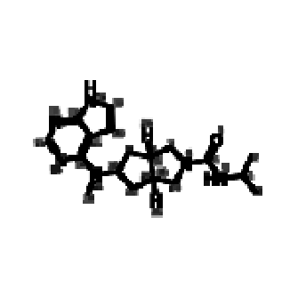 CC(C)NC(=O)N1C[C@H]2CC(N(C)c3ncnc4[nH]ccc34)C[C@H]2C1